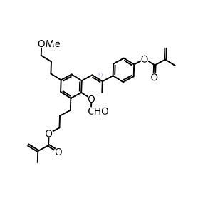 C=C(C)C(=O)OCCCc1cc(CCCOC)cc(/C=C(\C)c2ccc(OC(=O)C(=C)C)cc2)c1OC=O